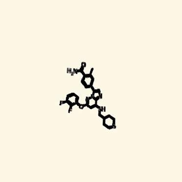 Cc1cc(-c2cnc3c(NCC4CCSCC4)cc(Oc4cccc(F)c4F)nn23)ccc1C(N)=O